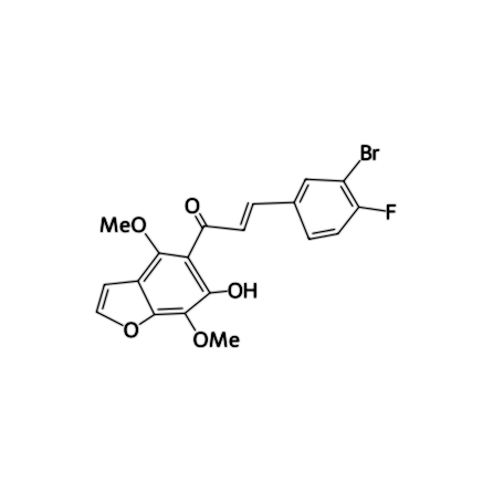 COc1c(C(=O)/C=C/c2ccc(F)c(Br)c2)c(O)c(OC)c2occc12